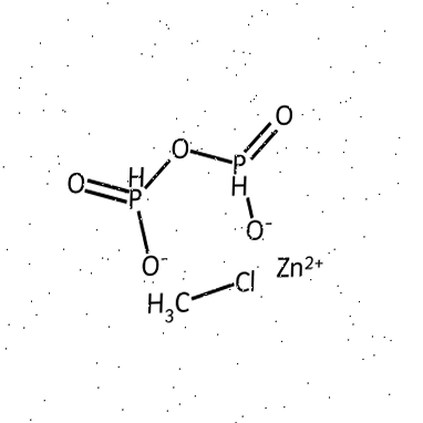 CCl.O=[PH]([O-])O[PH](=O)[O-].[Zn+2]